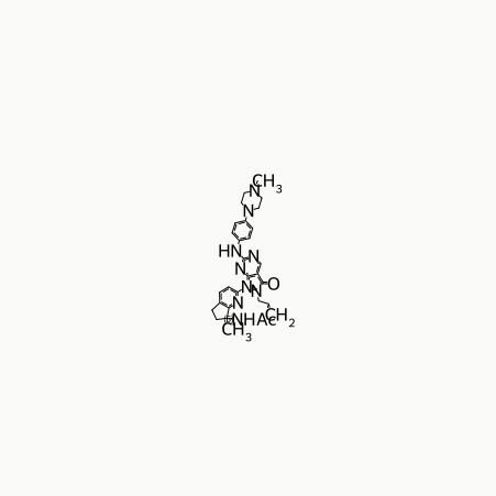 C=CCn1c(=O)c2cnc(Nc3ccc(N4CCN(C)CC4)cc3)nc2n1-c1ccc2c(n1)[C@@](C)(NC(C)=O)CC2